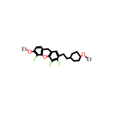 CCOc1ccc2c(c1F)Oc1c(cc(CCC3CCC(OCC)CC3)c(F)c1F)C2